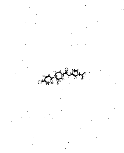 CC(C)n1cnc(CC(=O)N2CCN(c3ccc(Cl)nn3)[C@H](C)C2)c1